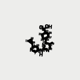 Cc1cnc(Nc2cnn(C3CC3)c2)nc1-c1ccc(C(=O)O)cc1